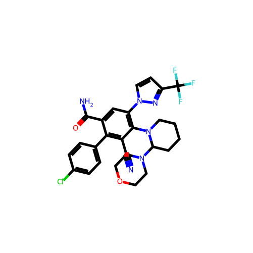 N#Cc1c(-c2ccc(Cl)cc2)c(C(N)=O)cc(-n2ccc(C(F)(F)F)n2)c1N1CCCCC1N1CCOCC1